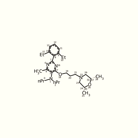 CCCN(CCC)c1c(C)nc(-c2c(CC)cccc2CC)nc1OCCCN1C[C@@H](C)O[C@@H](C)C1